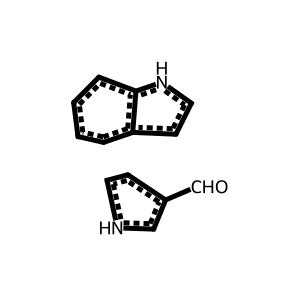 O=Cc1cc[nH]c1.c1ccc2[nH]ccc2c1